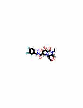 CCN1C(=O)c2c(OC)c(=O)c(C(=O)NCc3ccc(F)c(F)c3F)cn2[C@H]2CCOC[C@H]21